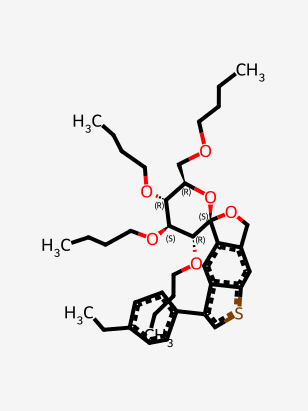 CCCCOC[C@H]1O[C@]2(OCc3cc4scc(-c5ccc(CC)cc5)c4cc32)[C@H](OCCCC)[C@@H](OCCCC)[C@@H]1OCCCC